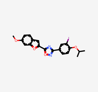 COc1ccc2cc(-c3nc(-c4ccc(OC(C)C)c(I)c4)no3)oc2c1